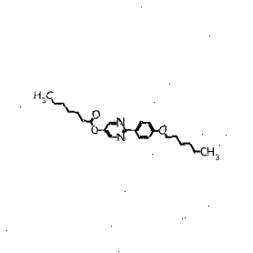 CCCCCCOc1ccc(-c2ncc(OC(=O)CCCCCC)cn2)cc1